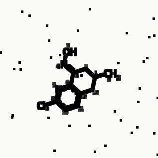 CC1CC(=NO)c2nc(Cl)ccc2C1